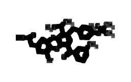 Cc1cccc(C(=O)c2cc(Cc3ccc(OC(C)(C)C)cc3)c(C(C)C)cc2Oc2c(Br)cc(CC(=O)O)cc2Br)c1